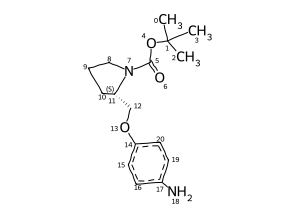 CC(C)(C)OC(=O)N1CCC[C@H]1COc1ccc(N)cc1